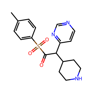 Cc1ccc(S(=O)(=O)C(=O)C(c2ccncn2)C2CCNCC2)cc1